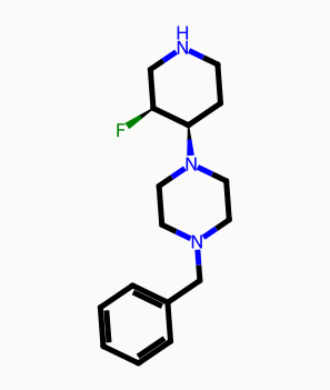 F[C@H]1CNCC[C@H]1N1CCN(Cc2ccccc2)CC1